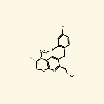 CC(=O)OCc1nc2c(cc1Cc1ccc(F)cc1F)N(C(=O)O)[C@@H](C)CO2